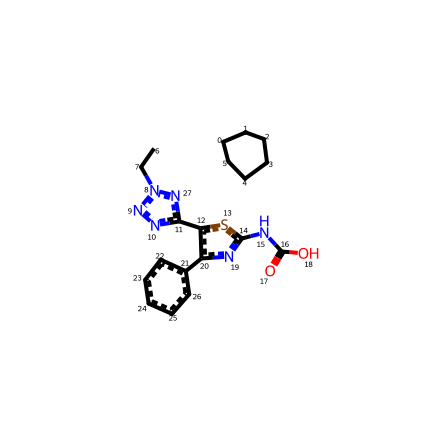 C1CCCCC1.CCn1nnc(-c2sc(NC(=O)O)nc2-c2ccccc2)n1